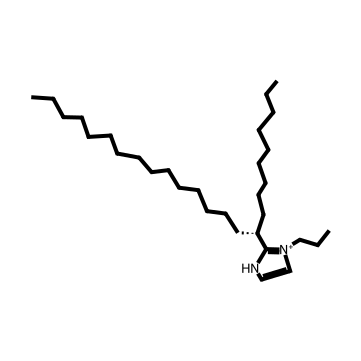 CCCCCCCCCCCCCCC[C@H](CCCCCCCCC)c1[nH]cc[n+]1CCC